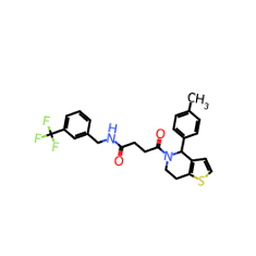 Cc1ccc(C2c3ccsc3CCN2C(=O)CCC(=O)NCc2cccc(C(F)(F)F)c2)cc1